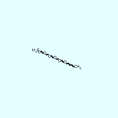 CCCCCCOCCOCCOCCOCCOCCOC